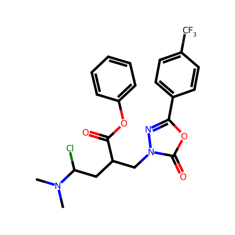 CN(C)C(Cl)CC(Cn1nc(-c2ccc(C(F)(F)F)cc2)oc1=O)C(=O)Oc1ccccc1